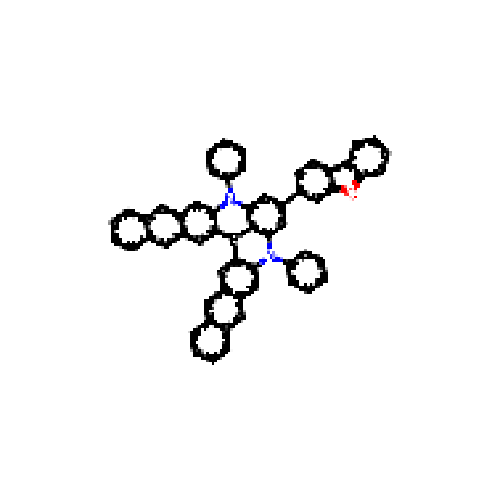 c1ccc(N2c3cc4cc5ccccc5cc4cc3B3c4cc5cc6ccccc6cc5cc4N(c4ccccc4)c4cc(-c5ccc6c(c5)oc5ccccc56)cc2c43)cc1